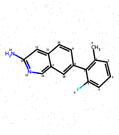 Cc1cccc(F)c1-c1ccc2cc(N)ncc2c1